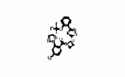 O=C(c1ccc(Cl)cc1-n1nccn1)N1CC[C@H]1c1nc(-c2ccccc2OC(F)(F)F)no1